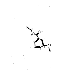 CSc1cccc(C(=O)OCI)c1